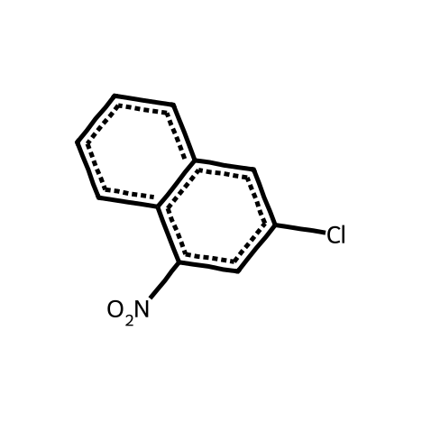 O=[N+]([O-])c1cc(Cl)cc2ccccc12